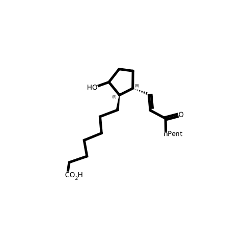 CCCCCC(=O)C=C[C@H]1CCC(O)[C@@H]1CCCCCCC(=O)O